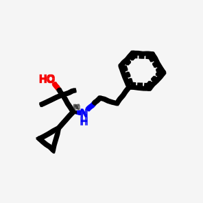 CC(C)(O)[C@@H](NCCc1ccccc1)C1CC1